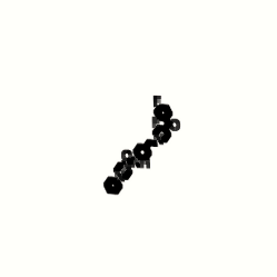 O=C(c1ccc(F)cc1F)C1CCN(CCC2CCC(NC(=O)N3CCN(c4ccccc4)CC3)CC2)CC1